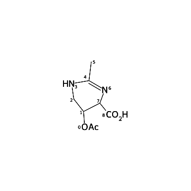 CC(=O)OC1CNC(C)=NC1C(=O)O